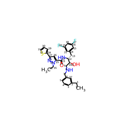 CCc1cccc(CNC[C@H](O)[C@@H](Cc2cc(F)cc(F)c2)NC(=O)c2cc(-c3cccs3)nn2CC)c1